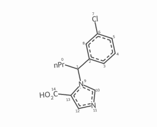 CCCC(c1cccc(Cl)c1)n1cncc1C(=O)O